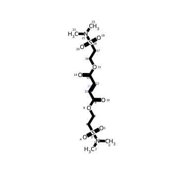 CN(C)S(=O)(=O)CCOC(=O)/C=C/C(=O)OCCS(=O)(=O)N(C)C